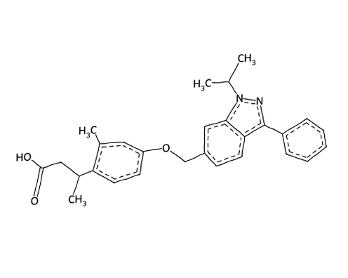 Cc1cc(OCc2ccc3c(-c4ccccc4)nn(C(C)C)c3c2)ccc1C(C)CC(=O)O